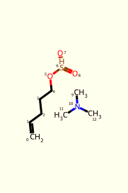 C=CCCCO[SH](=O)=O.CN(C)C